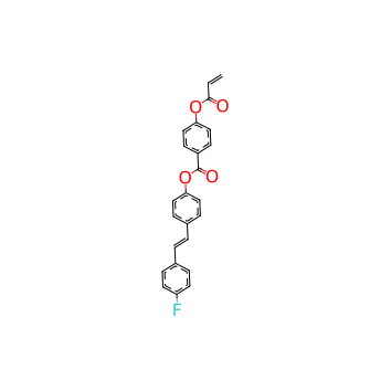 C=CC(=O)Oc1ccc(C(=O)Oc2ccc(/C=C/c3ccc(F)cc3)cc2)cc1